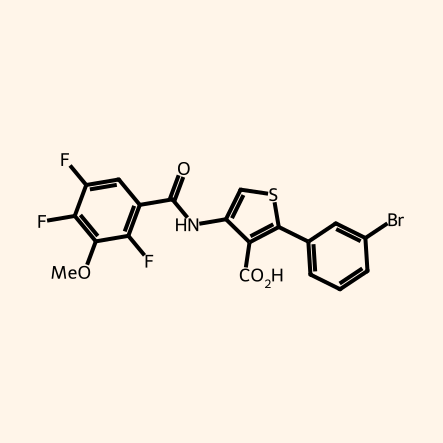 COc1c(F)c(F)cc(C(=O)Nc2csc(-c3cccc(Br)c3)c2C(=O)O)c1F